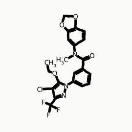 CCOc1c(Cl)c(C(F)(F)F)nn1-c1cccc(C(=O)N(C)c2ccc3c(c2)OCO3)c1